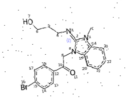 Cn1/c(=N/CCCO)n(CC(=O)c2ccc(Br)cc2)c2ccccc21